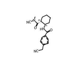 CN(C#N)C(=O)[C@@H]1CCCC[C@H]1NC(=O)c1ccc(CC#N)cc1